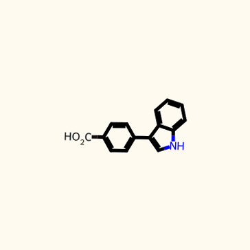 O=C(O)c1ccc(-c2c[nH]c3ccccc23)cc1